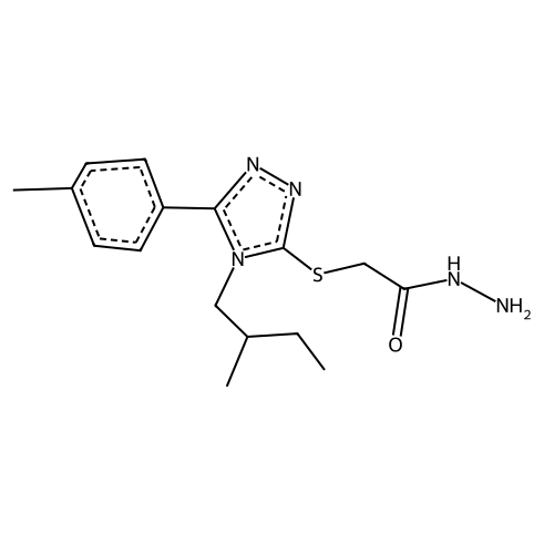 CCC(C)Cn1c(SCC(=O)NN)nnc1-c1ccc(C)cc1